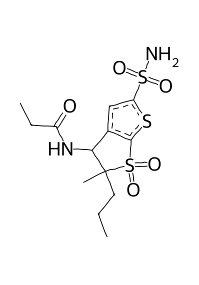 CCCC1(C)C(NC(=O)CC)c2cc(S(N)(=O)=O)sc2S1(=O)=O